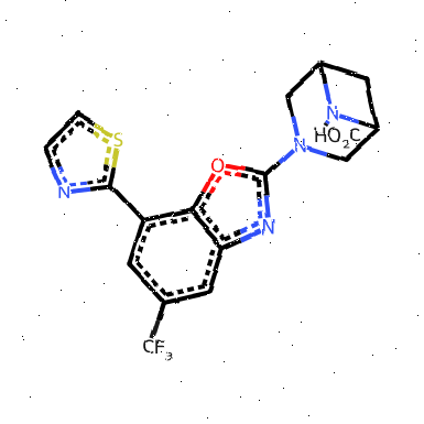 O=C(O)N1C2CC1CN(c1nc3cc(C(F)(F)F)cc(-c4nccs4)c3o1)C2